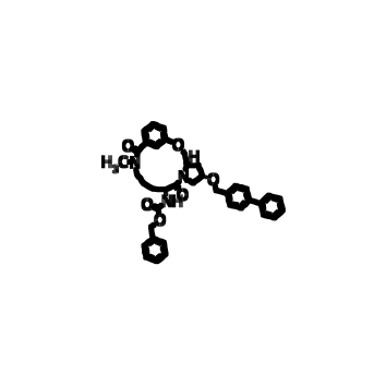 CN1CCC[C@H](NC(=O)OCc2ccccc2)C(=O)N2C[C@@H](OCc3ccc(-c4ccccc4)cc3)C[C@H]2COc2cccc(c2)C1=O